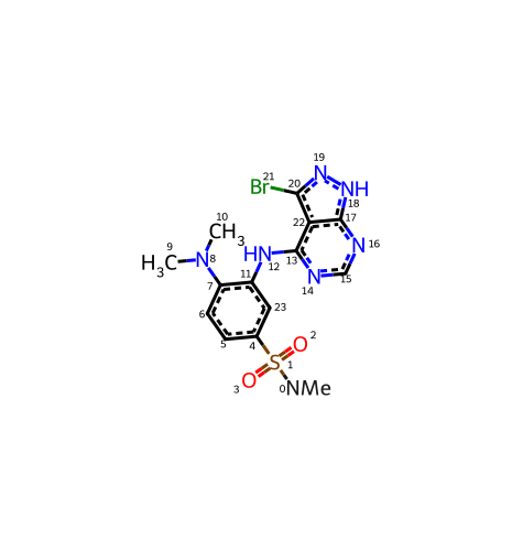 CNS(=O)(=O)c1ccc(N(C)C)c(Nc2ncnc3[nH]nc(Br)c23)c1